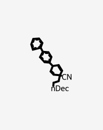 CCCCCCCCCCCCC1(C#N)C=CC(c2ccc(-c3ccccc3)cc2)C=C1